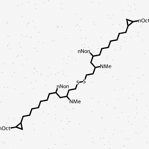 CCCCCCCCCC(CCCCCCCC1CC1CCCCCCCC)CC(CCSSCCC(CC(CCCCCCCCC)CCCCCCCC1CC1CCCCCCCC)NC)NC